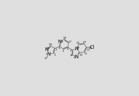 Cn1cc(-c2cc(-c3cnc4cc(Cl)ccn34)ccn2)cn1